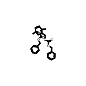 CC12C=CC(C)(C(COC(=O)OCc3ccccc3)C1)N2C(=O)OCc1ccccc1